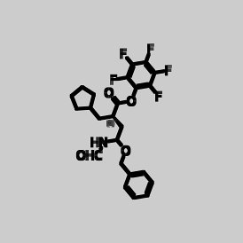 O=CNC(C[C@@H](CC1CCCC1)C(=O)Oc1c(F)c(F)c(F)c(F)c1F)OCc1ccccc1